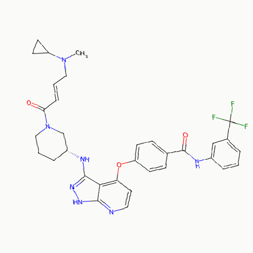 CN(C/C=C/C(=O)N1CCC[C@@H](Nc2n[nH]c3nccc(Oc4ccc(C(=O)Nc5cccc(C(F)(F)F)c5)cc4)c23)C1)C1CC1